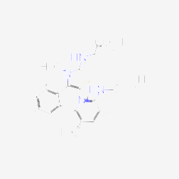 CN1C(c2ccccc2)=CSC1NCC(=O)O.O=C(O)CNc1ccc(C(F)(F)F)cn1